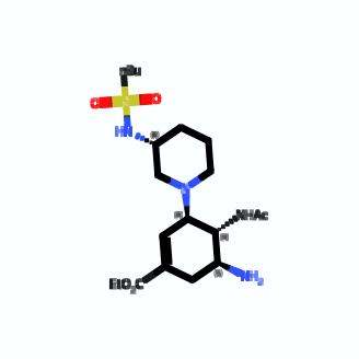 CCCCS(=O)(=O)N[C@@H]1CCCN([C@@H]2C=C(C(=O)OCC)C[C@H](N)[C@H]2NC(C)=O)C1